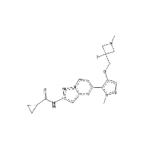 CN1CC(F)(COc2cnn(C)c2-c2ccn3nc(NC(=O)C4CC4)cc3c2)C1